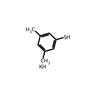 Cc1cc(C)cc(S)c1.[KH]